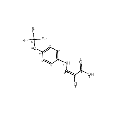 O=C(O)/C(Cl)=N\Nc1ccc(OC(F)(F)F)cc1